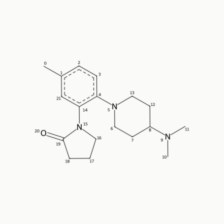 Cc1ccc(N2CCC(N(C)C)CC2)c(N2CCCC2=O)c1